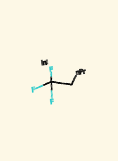 CCCCC(F)(F)F.[In]